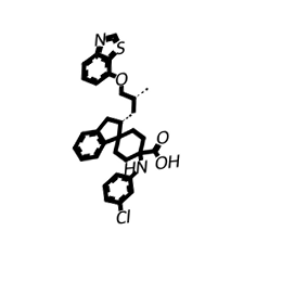 C[C@@H](COc1cccc2ncsc12)C[C@H]1Cc2ccccc2C12CCC(Nc1cccc(Cl)c1)(C(=O)O)CC2